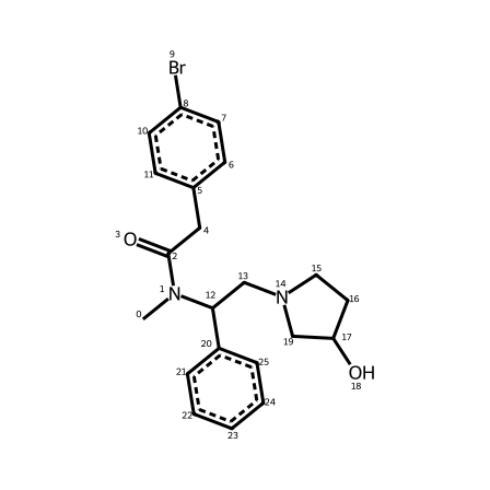 CN(C(=O)Cc1ccc(Br)cc1)C(CN1CCC(O)C1)c1ccccc1